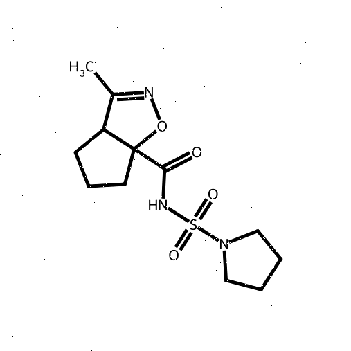 CC1=NOC2(C(=O)NS(=O)(=O)N3CCCC3)CCCC12